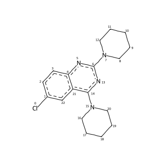 Clc1ccc2nc(N3CCCCC3)nc(N3CCCCC3)c2c1